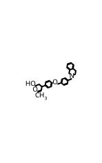 CC=CC(CC(=O)O)c1ccc(OCc2ccc(CN3CCc4ccccc4C3)cc2)cc1